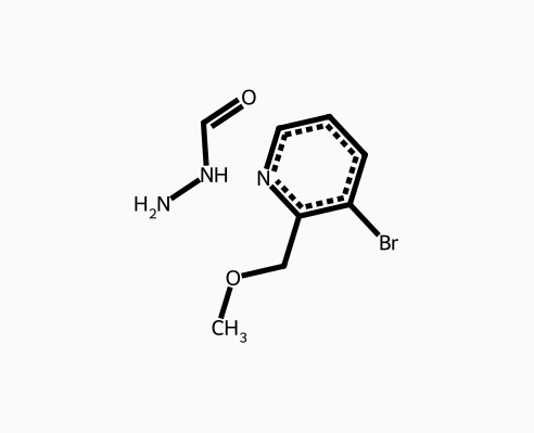 COCc1ncccc1Br.NNC=O